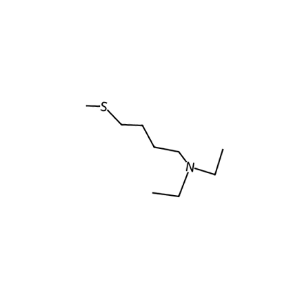 CCN(CC)CCCCSC